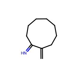 C=C1CCCCCCCC1=N